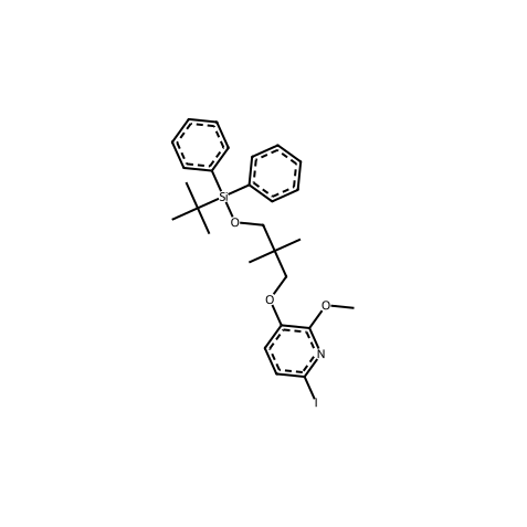 COc1nc(I)ccc1OCC(C)(C)CO[Si](c1ccccc1)(c1ccccc1)C(C)(C)C